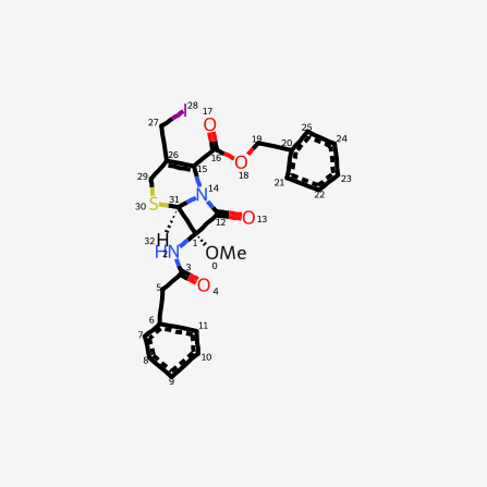 CO[C@@]1(NC(=O)Cc2ccccc2)C(=O)N2C(C(=O)OCc3ccccc3)=C(CI)CS[C@@H]21